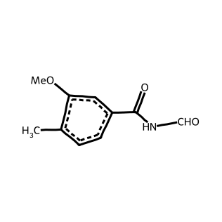 COc1cc(C(=O)NC=O)ccc1C